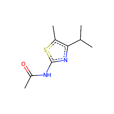 CC(=O)Nc1nc(C(C)C)c(C)s1